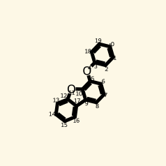 [c]1ccc(Oc2cccc3c2oc2ccccc23)cc1